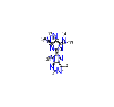 Cc1ncnc2c1nc(-c1nc(N(C)C)c3ncn(C)c3n1)n2C